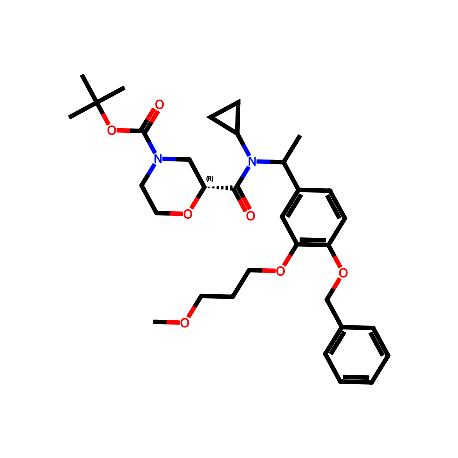 COCCCOc1cc(C(C)N(C(=O)[C@H]2CN(C(=O)OC(C)(C)C)CCO2)C2CC2)ccc1OCc1ccccc1